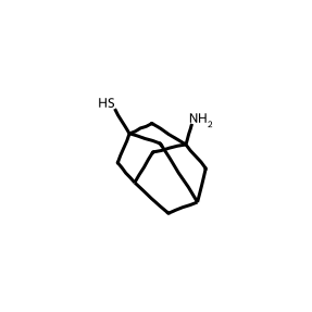 NC12CC3CC(C1)CC(S)(C3)C2